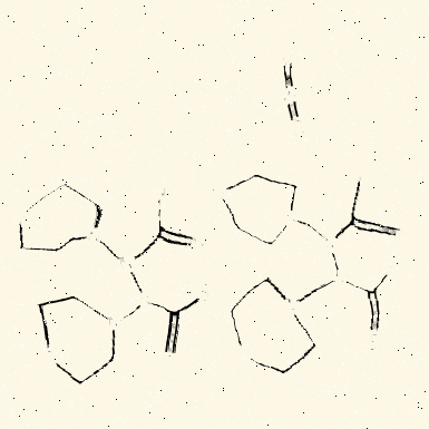 S=C([S-])N(N1CCOCC1)N(C(=S)S)N1CCOCC1.S=C([S-])N(N1CCOCC1)N(C(=S)S)N1CCOCC1.[O]=[Mo+2]=[O]